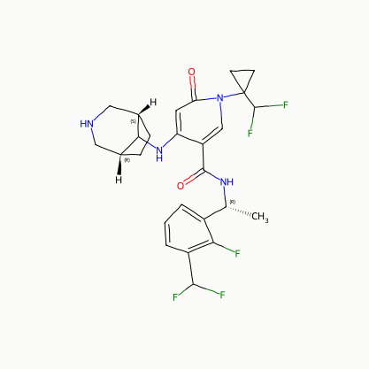 C[C@@H](NC(=O)c1cn(C2(C(F)F)CC2)c(=O)cc1NC1[C@@H]2CC[C@H]1CNC2)c1cccc(C(F)F)c1F